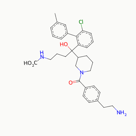 Cc1cccc(-c2c(Cl)cccc2C(O)(CCCNC(=O)O)C2CCCN(C(=O)c3ccc(CCN)cc3)C2)c1